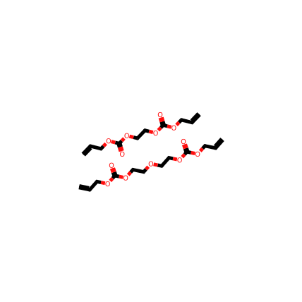 C=CCOC(=O)OCCOC(=O)OCC=C.C=CCOC(=O)OCCOCCOC(=O)OCC=C